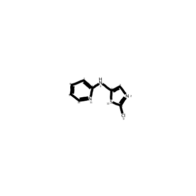 Clc1ncc(Nc2ccccn2)s1